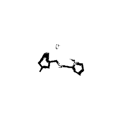 Cc1cccc(CSc2cccc[n+]2C)c1.[Cl-]